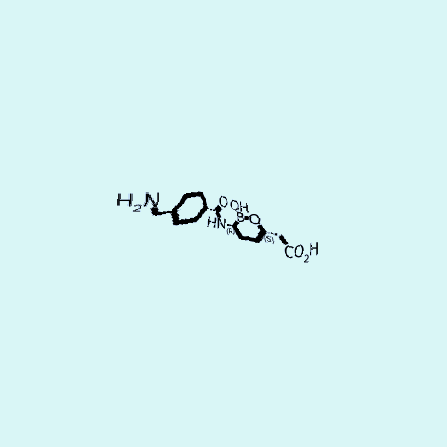 NC[C@H]1CC[C@H](C(=O)N[C@H]2CC[C@@H](CC(=O)O)OB2O)CC1